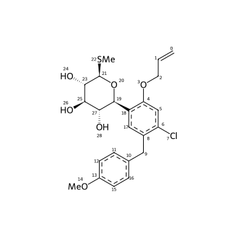 C=CCOc1cc(Cl)c(Cc2ccc(OC)cc2)cc1[C@@H]1O[C@H](SC)[C@@H](O)[C@H](O)[C@H]1O